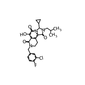 CC(C)CN1C(=O)c2c3c(c(O)c(=O)n2C1C1CC1)C(=O)N(Cc1ccc(F)c(Cl)c1)CC3